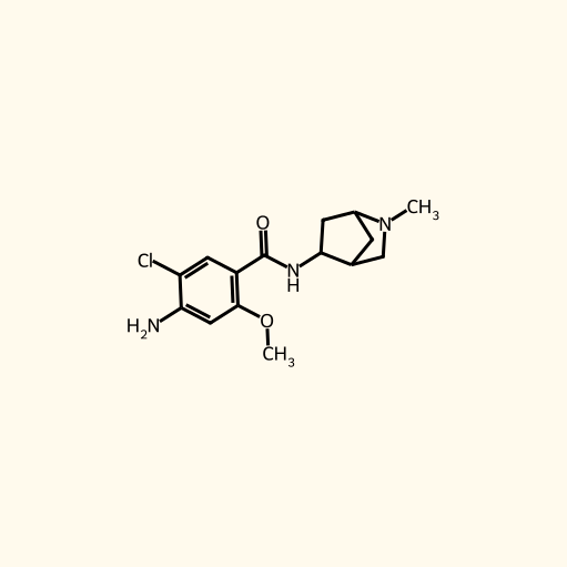 COc1cc(N)c(Cl)cc1C(=O)NC1CC2CC1CN2C